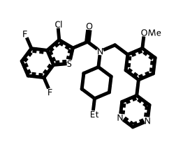 CCC1CCC(N(Cc2cc(-c3cncnc3)ccc2OC)C(=O)c2sc3c(F)ccc(F)c3c2Cl)CC1